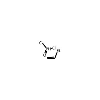 C=CCC.O=[PH](Cl)Cl